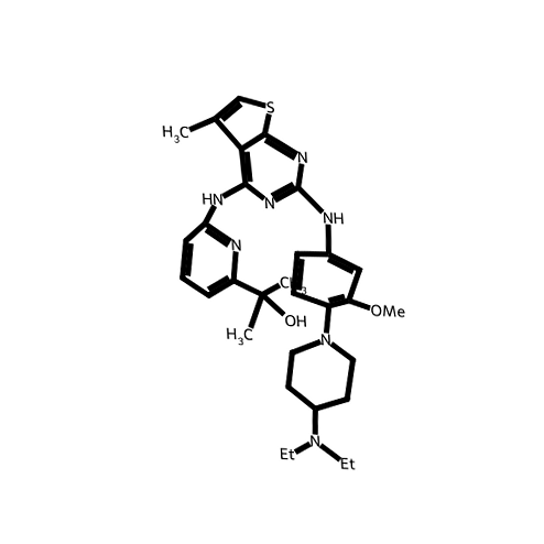 CCN(CC)C1CCN(c2ccc(Nc3nc(Nc4cccc(C(C)(C)O)n4)c4c(C)csc4n3)cc2OC)CC1